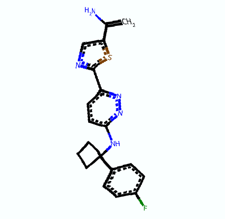 C=C(N)c1cnc(-c2ccc(NC3(c4ccc(F)cc4)CCC3)nn2)s1